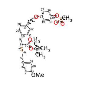 COc1ccc(CCSC(Cc2ccc(CCOc3ccc(OS(C)(=O)=O)cc3)cc2)C(=O)O[Si](C)(C)C)cc1